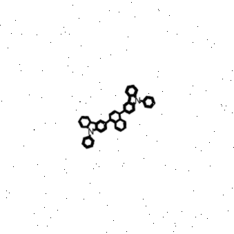 C1=CC2=C(c3ccc4c(c3)C3C=CC=CC3N4c3ccccc3)C=CC(c3ccc4c(c3)c3ccccc3n4-c3ccccc3)C2C=C1